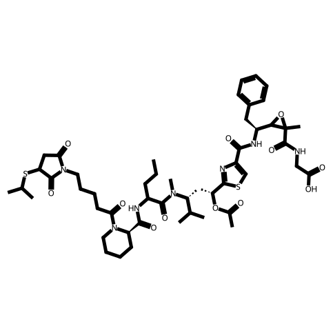 CCCC(NC(=O)[C@H]1CCCCN1C(=O)CCCCN1C(=O)CC(SC(C)C)C1=O)C(=O)N(C)[C@H](C[C@@H](OC(C)=O)c1nc(C(=O)N[C@@H](Cc2ccccc2)C2OC2(C)C(=O)NCC(=O)O)cs1)C(C)C